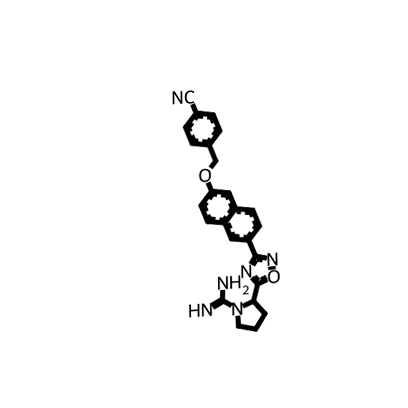 N#Cc1ccc(COc2ccc3cc(-c4noc(C5CCCN5C(=N)N)n4)ccc3c2)cc1